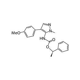 COc1ccc(-c2cnn(C)c2NC(=O)O[C@H](C)c2ccccc2)cc1